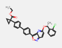 CCOC(=O)C1(c2ccc(-c3ccc(-c4onc5ccc(O[C@H](C)c6ccccc6Cl)nc45)cc3)cc2)CC1